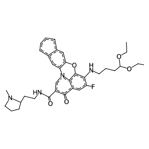 CCOC(CCCNc1c(F)cc2c(=O)c(C(=O)NCCC3CCCN3C)cn3c2c1Oc1cc2ccccc2cc1-3)OCC